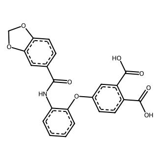 O=C(Nc1ccccc1Oc1ccc(C(=O)O)c(C(=O)O)c1)c1ccc2c(c1)OCO2